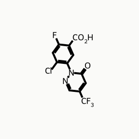 O=C(O)c1cc(-n2ncc(C(F)(F)F)cc2=O)c(Cl)cc1F